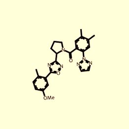 COc1ccc(C)c(-c2nc(C3CCCN3C(=O)c3cc(C)c(C)cc3-n3nccn3)no2)c1